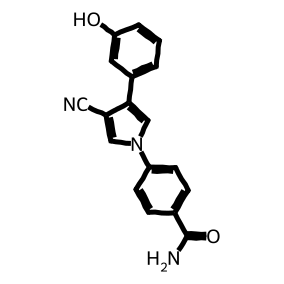 N#Cc1cn(-c2ccc(C(N)=O)cc2)cc1-c1cccc(O)c1